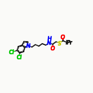 CC(C)C(=O)SCC(=O)NCCCCCn1ccc2cc(Cl)c(Cl)cc21